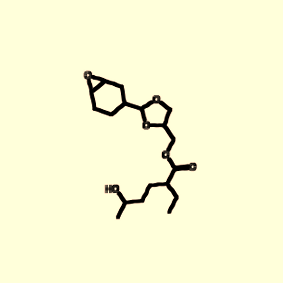 CCC(CCC(C)O)C(=O)OCC1COC(C2CCC3OC3C2)O1